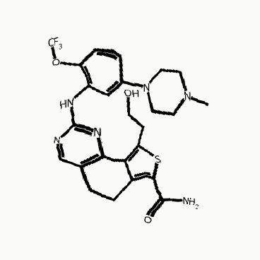 CN1CCN(c2ccc(OC(F)(F)F)c(Nc3ncc4c(n3)-c3c(CCO)sc(C(N)=O)c3CC4)c2)CC1